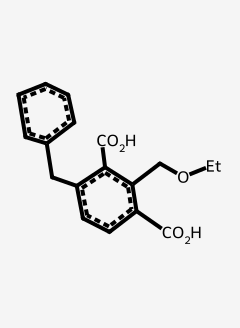 CCOCc1c(C(=O)O)ccc(Cc2ccccc2)c1C(=O)O